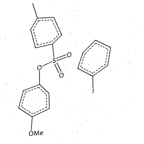 COc1ccc(OS(=O)(=O)c2ccc(C)cc2)cc1.Ic1ccccc1